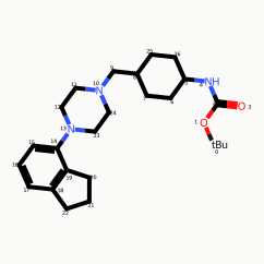 CC(C)(C)OC(=O)NC1CCC(CN2CCN(c3cccc4c3CCC4)CC2)CC1